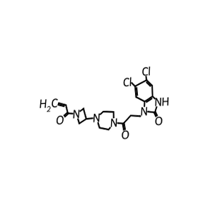 C=CC(=O)N1CC(N2CCN(C(=O)CCn3c(=O)[nH]c4cc(Cl)c(Cl)cc43)CC2)C1